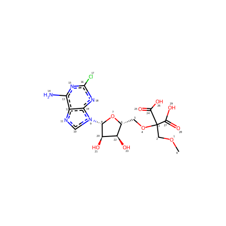 COCC(OC[C@H]1O[C@@H](n2cnc3c(N)nc(Cl)nc32)[C@H](O)[C@@H]1O)(C(=O)O)C(=O)O